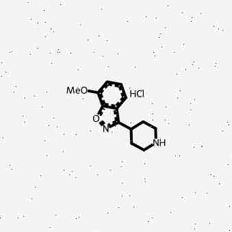 COc1cccc2c(C3CCNCC3)noc12.Cl